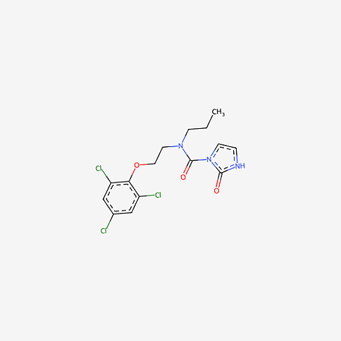 CCCN(CCOc1c(Cl)cc(Cl)cc1Cl)C(=O)n1cc[nH]c1=O